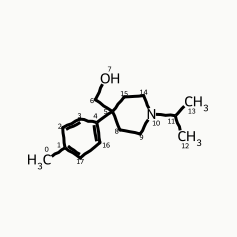 Cc1ccc(C2(CO)CCN(C(C)C)CC2)cc1